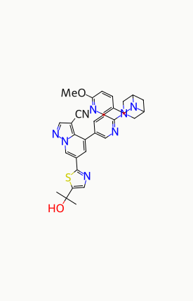 COc1ccc(CN2C3CC2CN(c2ccc(-c4cc(-c5ncc(C(C)(C)O)s5)cn5ncc(C#N)c45)cn2)C3)cn1